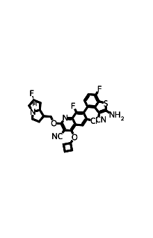 N#Cc1c(OCC2CCN3C[C@H](F)CC23)nc2c(F)c(-c3ccc(F)c4sc(N)c(C#N)c34)c(Cl)cc2c1OC1CCC1